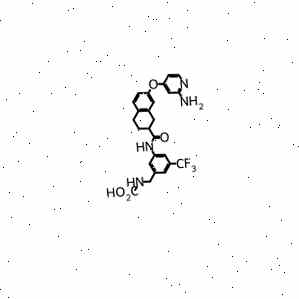 Nc1cc(Oc2ccc3c(c2)CC(C(=O)Nc2cc(CNC(=O)O)cc(C(F)(F)F)c2)CC3)ccn1